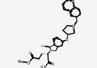 CC(C)(C)OC(=O)CC[C@@H](C(N)=O)N1Cc2cc(O[C@H]3CCN(Cc4ccc5ncccc5c4)C3)ccc2C1=O